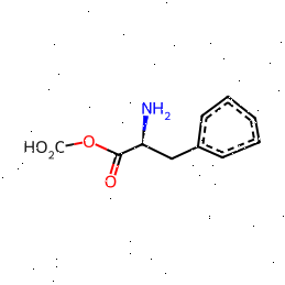 N[C@@H](Cc1ccccc1)C(=O)OC(=O)O